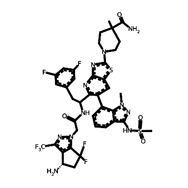 Cn1nc(NS(C)(=O)=O)c2cccc(-c3cc4sc(N5CCC(C)(C(N)=O)CC5)nc4nc3C(Cc3cc(F)cc(F)c3)NC(=O)Cn3nc(C(F)(F)F)c4c3C(F)(F)C[C@@H]4N)c21